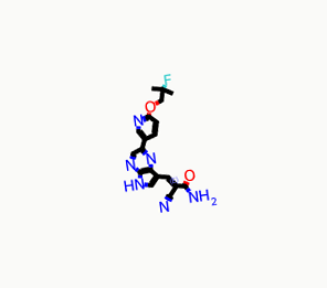 CC(C)(F)COc1ccc(-c2cnc3[nH]cc(/C=C(\C#N)C(N)=O)c3n2)cn1